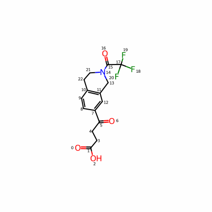 O=C(O)CCC(=O)c1ccc2c(c1)CN(C(=O)C(F)(F)F)CC2